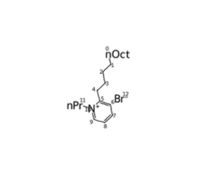 CCCCCCCCCCCCc1cccc[n+]1CCC.[Br-]